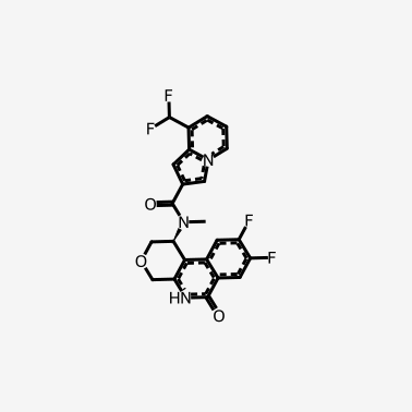 CN(C(=O)c1cc2c(C(F)F)cccn2c1)[C@@H]1COCc2[nH]c(=O)c3cc(F)c(F)cc3c21